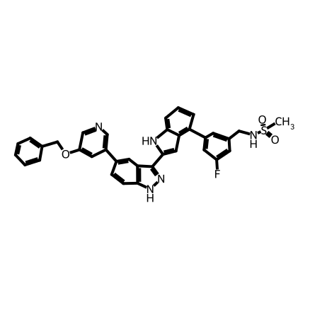 CS(=O)(=O)NCc1cc(F)cc(-c2cccc3[nH]c(-c4n[nH]c5ccc(-c6cncc(OCc7ccccc7)c6)cc45)cc23)c1